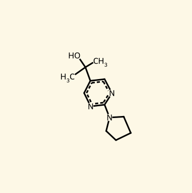 CC(C)(O)c1cnc(N2CCCC2)nc1